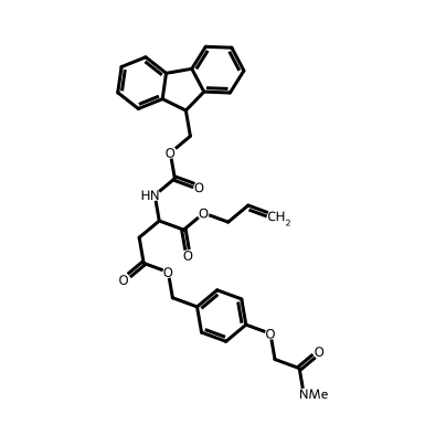 C=CCOC(=O)C(CC(=O)OCc1ccc(OCC(=O)NC)cc1)NC(=O)OCC1c2ccccc2-c2ccccc21